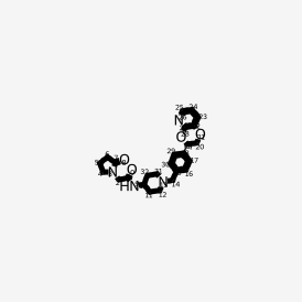 O=C(CN1CCCC1=O)NC1CCN(Cc2ccc([C@H]3COc4cccnc4O3)cc2)CC1